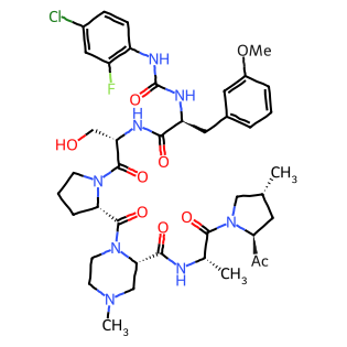 COc1cccc(C[C@H](NC(=O)Nc2ccc(Cl)cc2F)C(=O)N[C@@H](CO)C(=O)N2CCC[C@H]2C(=O)N2CCN(C)C[C@H]2C(=O)N[C@@H](C)C(=O)N2C[C@H](C)C[C@H]2C(C)=O)c1